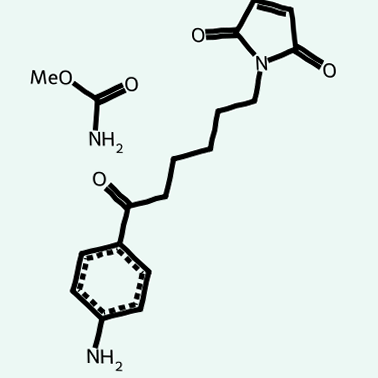 COC(N)=O.Nc1ccc(C(=O)CCCCCN2C(=O)C=CC2=O)cc1